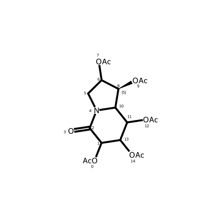 CC(=O)OC1C(=O)N2CC(OC(C)=O)[C@@H](OC(C)=O)C2C(OC(C)=O)C1OC(C)=O